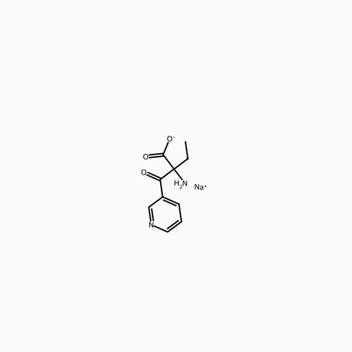 CCC(N)(C(=O)[O-])C(=O)c1cccnc1.[Na+]